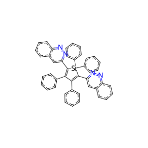 c1ccc(C2=C(c3cc4ccccc4nn3)[Si](c3ccccc3)(c3ccccc3)C(c3cc4ccccc4nn3)=C2c2ccccc2)cc1